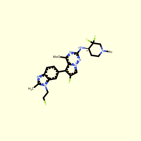 COc1nc(N[C@@H]2CCN(C(C)=O)CC2(F)F)nn2cc(F)c(-c3ccc4nc(C)n(CCF)c4c3)c12